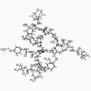 CCOc1ccc(NC(=O)NC(=O)C[C@@H]2NC(=O)[C@H](NC(=O)[C@@H](CC(C)C)N(C)C(=O)OC(C)(C)C)[C@H](O)c3ccc(c(C)c3)Oc3cc4cc(c3O[C@@H]3O[C@H](CNC(=O)OC(C)(C)C)[C@@H](O)[C@H](O)[C@H]3O)Oc3ccc(cc3Cl)[C@@H](O)[C@@H]3NC(=O)[C@H](NC(=O)[C@@H]4NC2=O)c2ccc(O)c(c2)-c2c(C)cc(O)cc2[C@@H](C(=O)NC2C4CC5CC(C4)CC2C5)NC3=O)cc1